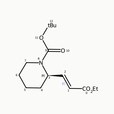 CCOC(=O)/C=C/[C@H]1CCCCN1C(=O)OC(C)(C)C